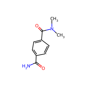 CN(C)C(=O)c1c[c]c(C(N)=O)cc1